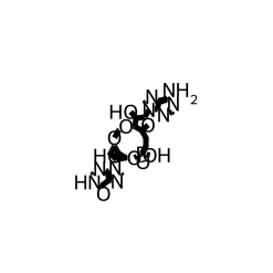 Nc1ncnc2c1ncn2C1OC2CCP(=O)(O)OC3C(O)C(CC3n3cnc4c(=O)[nH]cnc43)OCOC2C1O